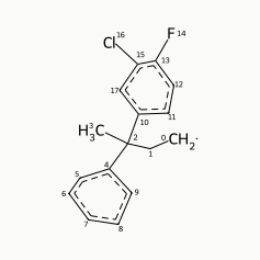 [CH2]CC(C)(c1ccccc1)c1ccc(F)c(Cl)c1